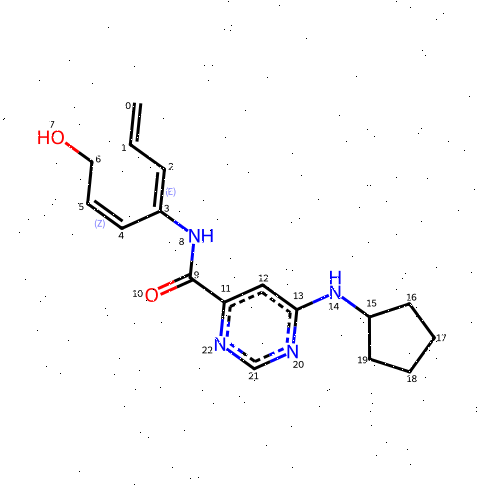 C=C/C=C(\C=C/CO)NC(=O)c1cc(NC2CCCC2)ncn1